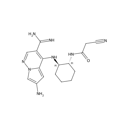 N#CCC(=O)N[C@@H]1CCCC[C@H]1Nc1c(C(=N)N)cnn2cc(N)cc12